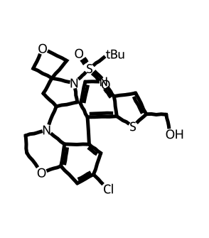 CC(C)(C)S(=O)(=O)N1CC(N2CCOc3cc(Cl)cc(-c4ccnc5cc(CO)sc45)c32)CC12COC2